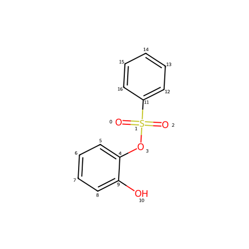 O=S(=O)(Oc1ccccc1O)c1ccccc1